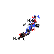 CO[C@@H]1[C@H](OC(=O)NCC(=O)N2CCCC2C(=O)N[C@@H](CC(C)C)[C@H](O)NCC(=O)N[C@@H](CCSC)C(=O)N[C@@H](Cc2c[nH]c3ccccc23)C(=O)N[C@@H](C)C(=O)NCC(N)=O)CC[C@]2(CO2)[C@H]1[C@@]1(C)O[C@@H]1CC=C(C)C